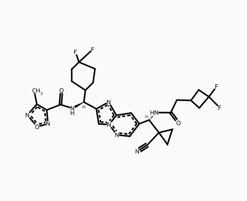 Cc1nonc1C(=O)N[C@H](c1cn2ncc([C@H](NC(=O)CC3CC(F)(F)C3)C3(C#N)CC3)cc2n1)C1CCC(F)(F)CC1